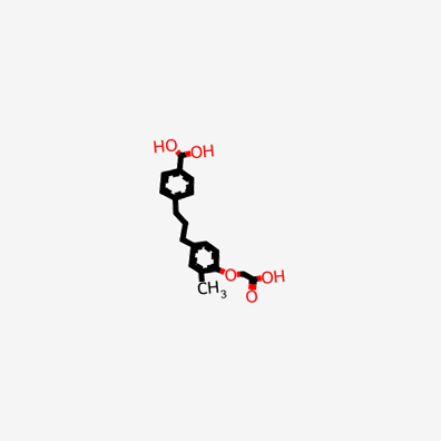 Cc1cc(CCCc2ccc(C(O)O)cc2)ccc1OCC(=O)O